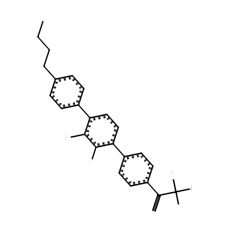 C=C(c1ccc(-c2ccc(-c3ccc(CCCC)cc3)c(F)c2F)cc1)C(F)(F)F